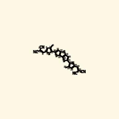 Cc1cc(C=C(C#N)C#N)sc1-c1cc2sc3cc(-c4sc(C=C(C#N)C#N)cc4C)sc3c2s1